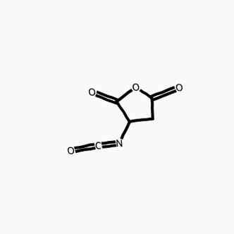 O=C=NC1CC(=O)OC1=O